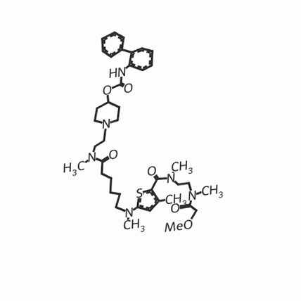 COCC(=O)N(C)CCN(C)C(=O)c1sc(N(C)CCCCCC(=O)N(C)CCN2CCC(OC(=O)Nc3ccccc3-c3ccccc3)CC2)cc1C